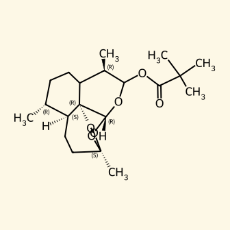 C[C@H]1C(OC(=O)C(C)(C)C)O[C@@H]2O[C@]3(C)CC[C@H]4[C@H](C)CCC1[C@@]24OO3